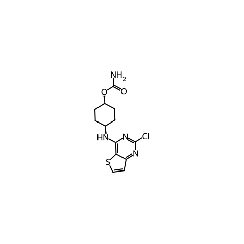 NC(=O)O[C@H]1CC[C@@H](Nc2nc(Cl)nc3ccsc23)CC1